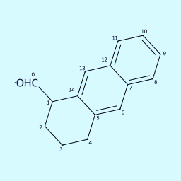 O=[C]C1CCCc2cc3ccccc3cc21